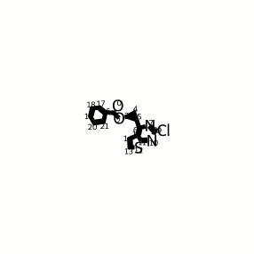 O=C(OC1CC1c1nc(Cl)nc2sccc12)c1ccccc1